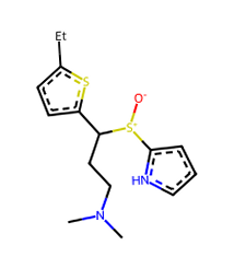 CCc1ccc(C(CCN(C)C)[S+]([O-])c2ccc[nH]2)s1